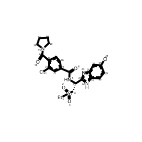 CCS(=O)(=O)C[C@H](NC(=O)c1ccc(C(=O)N2CCCC2)c(Cl)c1)c1nc2cc(Cl)ccc2[nH]1